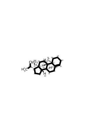 CC(C)[C@H]1CC[C@H]2[C@@H]3CCC4=CCCC[C@]4(C)[C@H]3CC[C@]12C